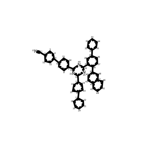 N#Cc1ccc(-c2ccc(-c3nc(-c4ccc(-c5ccccc5)cc4)nc(-c4cc(-c5ccccc5)ccc4-c4ccc5ccccc5c4)n3)cc2)cc1